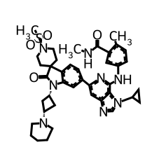 CNC(=O)c1cc(Nc2nc(-c3ccc4c(c3)N([C@H]3C[C@@H](N5CCCCC5)C3)C(=O)C43CCN(S(C)(=O)=O)CC3)cc3ncn(C4CC4)c23)ccc1C